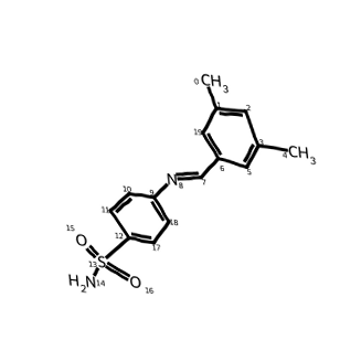 Cc1cc(C)cc(/C=N/c2ccc(S(N)(=O)=O)cc2)c1